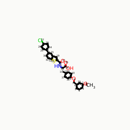 COc1cccc(COc2ccc(C[C@H](NC(=O)c3cc4cc(-c5ccc(Cl)cc5)ccc4s3)C(=O)O)cc2)c1